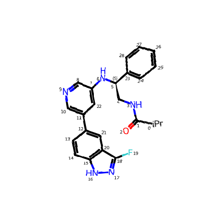 CC(C)C(=O)NC[C@@H](Nc1cncc(-c2ccc3[nH]nc(F)c3c2)c1)c1ccccc1